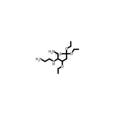 CCOC(CC([SiH3])(OCC)OCC)C(CN)NCCN